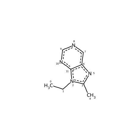 CCn1c(C)nc2cncnc21